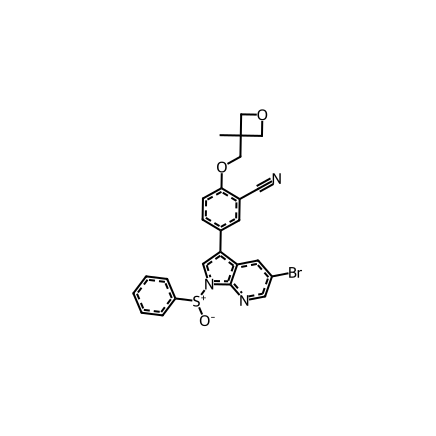 CC1(COc2ccc(-c3cn([S+]([O-])c4ccccc4)c4ncc(Br)cc34)cc2C#N)COC1